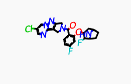 O=C(c1ccc(F)cc1OC1CC2CCC(N2)C1F)N1Cc2nn3cc(Cl)cnc3c2C1